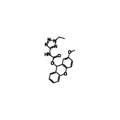 CCn1nnc(NC(=O)OC2c3ccccc3Oc3ccc(OC)cc32)n1